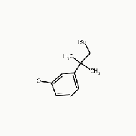 CC(C)(C)CC(C)(C)c1cccc([O])c1